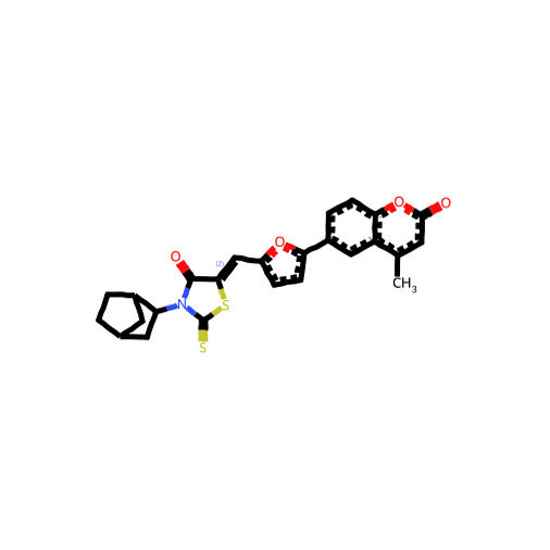 Cc1cc(=O)oc2ccc(-c3ccc(/C=C4\SC(=S)N(C5CC6CCC5C6)C4=O)o3)cc12